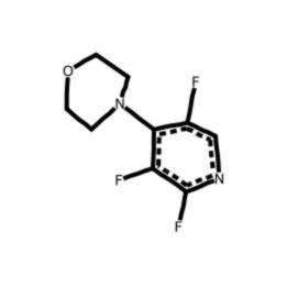 Fc1cnc(F)c(F)c1N1CCOCC1